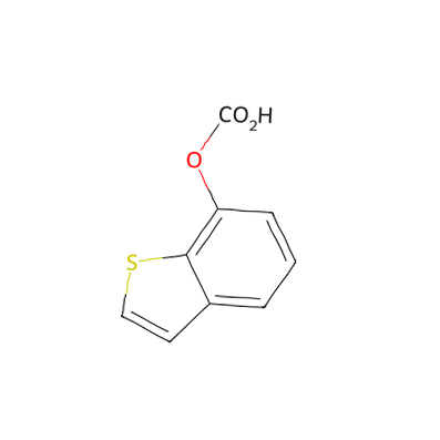 O=C(O)Oc1cccc2ccsc12